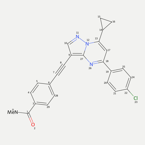 CNC(=O)c1ccc(C#Cc2cnn3c(C4CC4)cc(-c4ccc(Cl)cc4)nc23)cc1